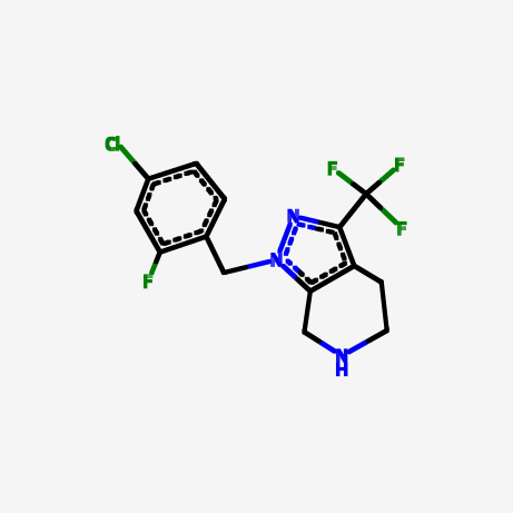 Fc1cc(Cl)ccc1Cn1nc(C(F)(F)F)c2c1CNCC2